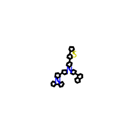 c1cc(-c2ccc(N(c3ccc(-c4ccc5c(c4)sc4ccccc45)cc3)c3ccc(-c4cccc5ccccc45)cc3)cc2)cc(-n2c3ccccc3c3ccccc32)c1